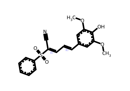 COc1cc(/C=C/C=C(\C#N)S(=O)(=O)c2ccccc2)cc(OC)c1O